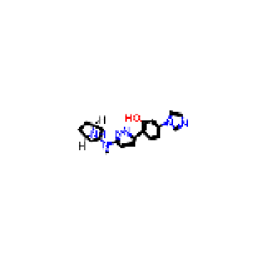 CN(c1ccc(-c2ccc(-n3ccnc3)cc2O)nn1)[C@H]1C[C@H]2CC[C@@H](C1)N2